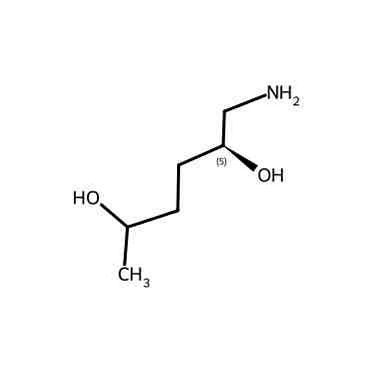 CC(O)CC[C@H](O)CN